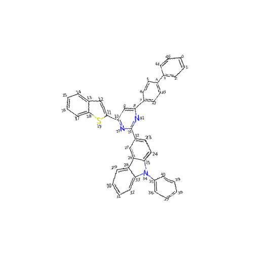 c1ccc(-c2ccc(-c3cc(-c4cc5ccccc5s4)nc(-c4ccc5c(c4)c4ccccc4n5-c4ccccc4)n3)cc2)cc1